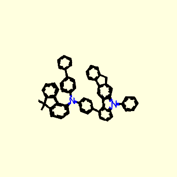 CC1(C)c2ccccc2-c2c(N(c3ccc(-c4ccccc4)cc3)c3ccc(-c4cccc5c4c4cc6c(cc4n5-c4ccccc4)Cc4ccccc4-6)cc3)cccc21